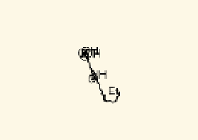 CC/C=C\C/C=C\C/C=C\CCCCCCCC(=O)NCCCCCCOP(=O)(O)O